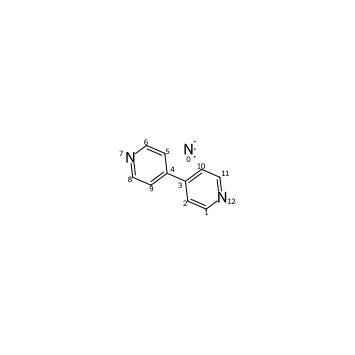 [N].c1cc(-c2ccncc2)ccn1